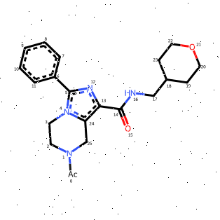 CC(=O)N1CCn2c(-c3ccccc3)nc(C(=O)NCC3CCOCC3)c2C1